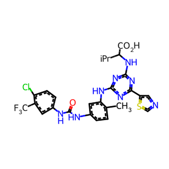 Cc1ccc(NC(=O)Nc2ccc(Cl)c(C(F)(F)F)c2)cc1Nc1nc(NC(C(=O)O)C(C)C)nc(-c2cncs2)n1